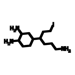 NCCCC(CCI)C1CCC(N)C(N)C1